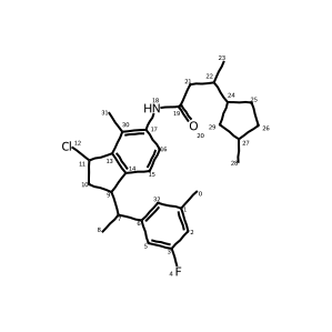 Cc1cc(F)cc(C(C)C2CC(Cl)c3c2ccc(NC(=O)CC(C)C2CCC(C)C2)c3C)c1